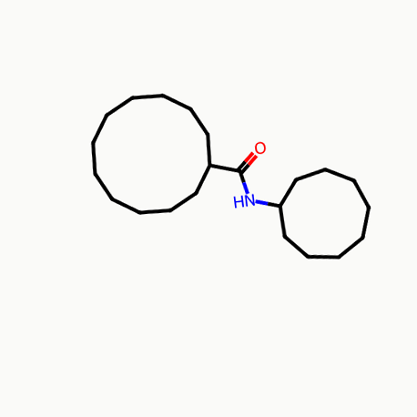 O=C(NC1CCCCCCCC1)C1CCCCCCCCCCC1